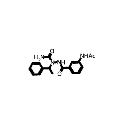 CC(=O)Nc1cccc(C(=O)NN(C(N)=O)C(C)c2ccccc2)c1